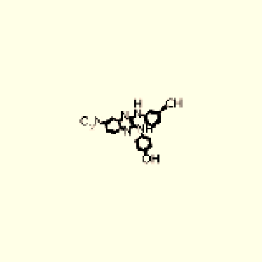 C#Cc1cccc(Nc2nc3cc([N+](=O)[O-])ccc3nc2Nc2ccc(O)cc2)c1